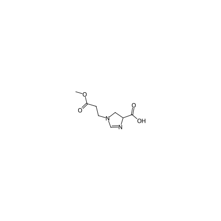 COC(=O)CCN1C=NC(C(=O)O)C1